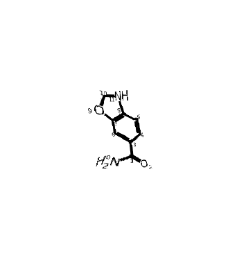 NC(=O)c1ccc2c(c1)OCN2